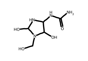 NC(=O)NC1NC(O)N(CO)C1O